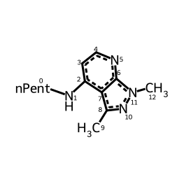 CCCCCNc1ccnc2c1c(C)nn2C